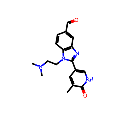 Cc1cc(-c2nc3cc(C=O)ccc3n2CCN(C)C)c[nH]c1=O